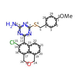 COc1ccc(CSc2nc(N)nc(-c3c(Cl)cc4c5c(cccc35)COC4)n2)cc1